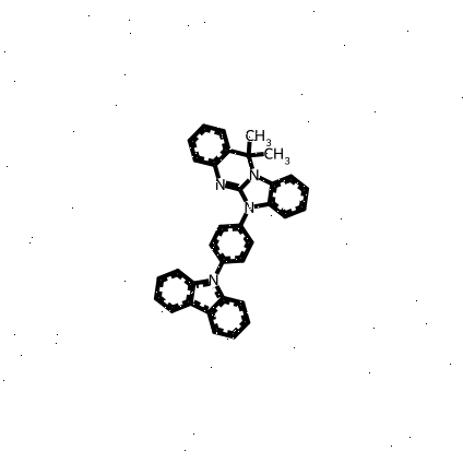 CC1(C)c2ccccc2N=C2N(c3ccc(-n4c5ccccc5c5ccccc54)cc3)c3ccccc3N21